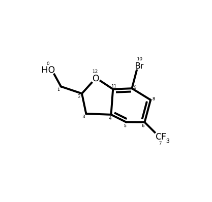 OCC1Cc2cc(C(F)(F)F)cc(Br)c2O1